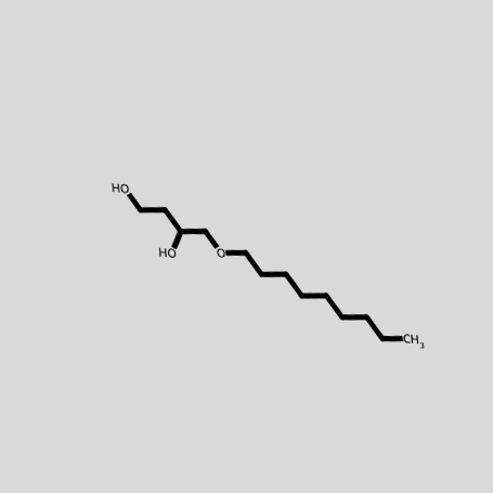 CCCCCCCCCOCC(O)CCO